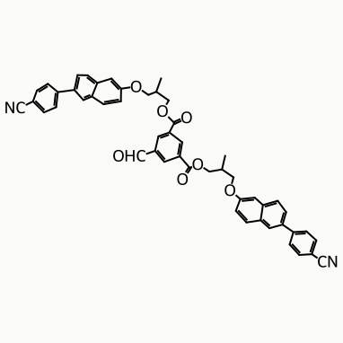 CC(COC(=O)c1cc(C=O)cc(C(=O)OCC(C)COc2ccc3cc(-c4ccc(C#N)cc4)ccc3c2)c1)COc1ccc2cc(-c3ccc(C#N)cc3)ccc2c1